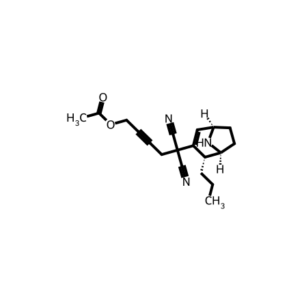 CCC[C@@H]1C(C(C#N)(C#N)CC#CCOC(C)=O)=C[C@H]2CC[C@@H]1N2